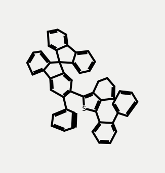 c1cccc(-c2cc3c(cc2-c2sc(-c4ccccc4-c4ccccc4)c4c2CCC=C4)C2(c4ccccc4-c4ccccc42)c2ccccc2-3)c#1